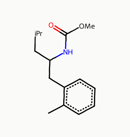 COC(=O)NC(Cc1ccccc1C)CC(C)C